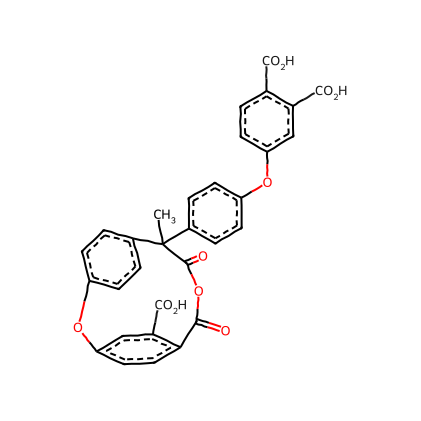 CC1(c2ccc(Oc3ccc(C(=O)O)c(C(=O)O)c3)cc2)C(=O)OC(=O)c2ccc(cc2C(=O)O)Oc2ccc1cc2